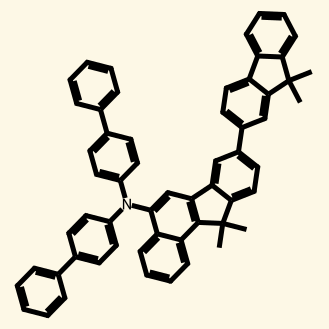 CC1(C)c2ccccc2-c2ccc(-c3ccc4c(c3)-c3cc(N(c5ccc(-c6ccccc6)cc5)c5ccc(-c6ccccc6)cc5)c5ccccc5c3C4(C)C)cc21